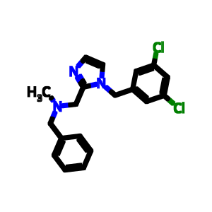 CN(Cc1ccccc1)Cc1nccn1Cc1cc(Cl)cc(Cl)c1